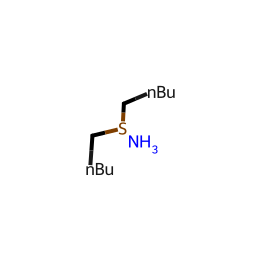 CCCCCSCCCCC.N